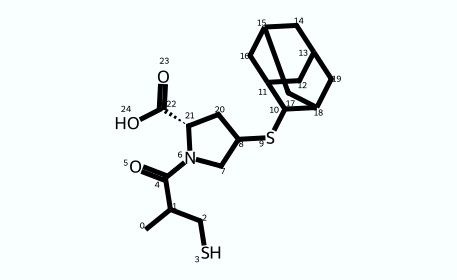 CC(CS)C(=O)N1CC(SC2C3CC4CC(C3)CC2C4)C[C@H]1C(=O)O